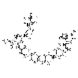 CN1CCN(C2CC3CC2N(c2nnc(C(N)=O)c(Nc4ccc(C5CCN(CC6CCN(c7ccc8c(c7)CN(C7CCC(=O)NC7=O)C8=O)CC6)CC5)cc4)n2)C3)C1=O